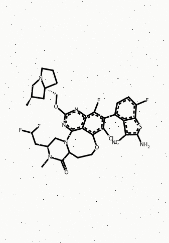 C[C@H]1CN2CCC[C@@]2(COc2nc3c4c(c(Cl)c(-c5ccc(F)c6sc(N)c(C#N)c56)c(F)c4n2)OCCC2C(=O)N(C)C(CC(F)F)CN32)C1